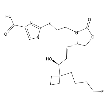 O=C(O)c1csc(SCCN2C(=O)OC[C@@H]2C=C[C@H](O)C2(CCCCF)CCC2)n1